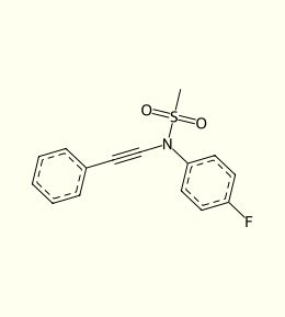 CS(=O)(=O)N(C#Cc1ccccc1)c1ccc(F)cc1